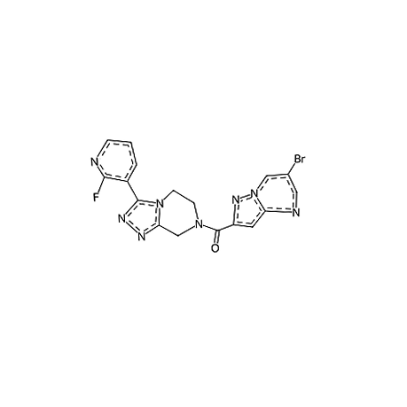 O=C(c1cc2ncc(Br)cn2n1)N1CCn2c(nnc2-c2cccnc2F)C1